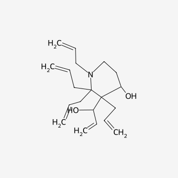 C=CCN1CCC(O)C(CC=C)(C(O)C=C)C1(CC=C)CC=C